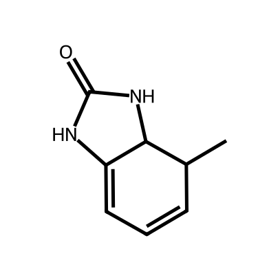 CC1C=CC=C2NC(=O)NC21